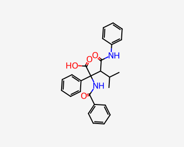 CC(C)C(C(=O)Nc1ccccc1)C(NC(=O)c1ccccc1)(C(=O)O)c1ccccc1